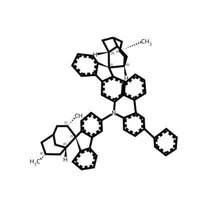 C[C@@H]1CC2C[C@@H]3C2C[C@@H](C1)[C@@]31c2ccccc2-c2cc(N(c3ccc4c(c3)-c3ccccc3[C@]43[C@H]4CC(C[C@@H](C)C4)C[C@@H]3C)c3ccc(-c4ccccc4)cc3-c3ccccc3)ccc21